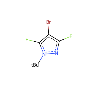 CC(C)(C)n1nc(F)c(Br)c1F